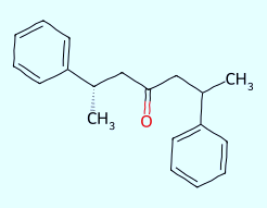 CC(CC(=O)C[C@H](C)c1ccccc1)c1ccccc1